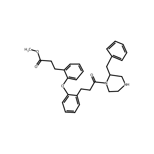 COC(=O)CCc1ccccc1Oc1ccccc1CCC(=O)N1CCNCC1Cc1ccccc1